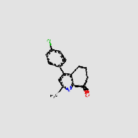 Cc1cc(-c2ccc(Cl)cc2)c2c(n1)C(=O)CCC2